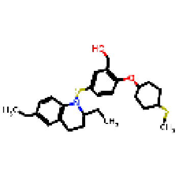 CCc1ccc2c(c1)CCC(CC)N2Sc1ccc(OC2CCC(SC)CC2)c(CO)c1